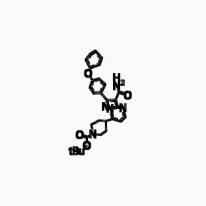 CC(C)(C)OC(=O)N1CCC(c2ccnc3c(C(N)=O)c(-c4ccc(Oc5ccccc5)cc4)nn23)CC1